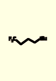 CC(C)(C)CCCC(F)(F)F